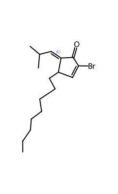 CCCCCCCCC1C=C(Br)C(=O)/C1=C/C(C)C